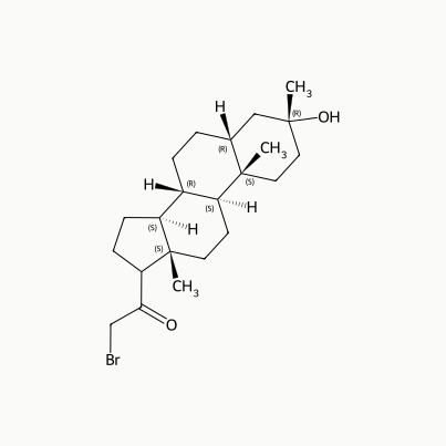 C[C@@]1(O)CC[C@@]2(C)[C@H](CC[C@@H]3[C@@H]2CC[C@]2(C)C(C(=O)CBr)CC[C@@H]32)C1